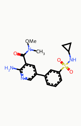 CON(C)C(=O)c1cc(-c2cccc(S(=O)(=O)NC3CC3)c2)cnc1N